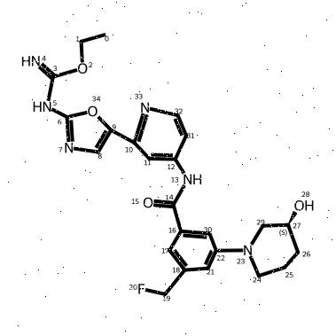 CCOC(=N)Nc1ncc(-c2cc(NC(=O)c3cc(CF)cc(N4CCC[C@H](O)C4)c3)ccn2)o1